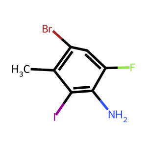 Cc1c(Br)cc(F)c(N)c1I